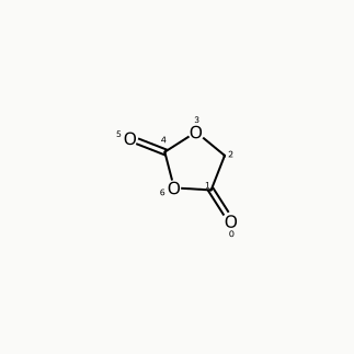 O=C1COC(=O)O1